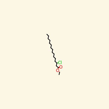 CCCCCCCCCCCCCC(Cl)CC(=O)OCC